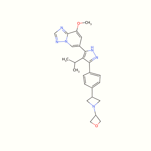 COc1cc(-c2[nH]nc(-c3ccc(C4CN(C5COC5)C4)cc3)c2C(C)C)cn2ncnc12